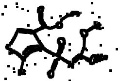 CCOC(=NS(=O)(=O)c1c(C(=O)OC(C)C)csc1CC)OC